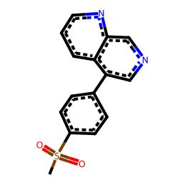 CS(=O)(=O)c1ccc(-c2cncc3ncccc23)cc1